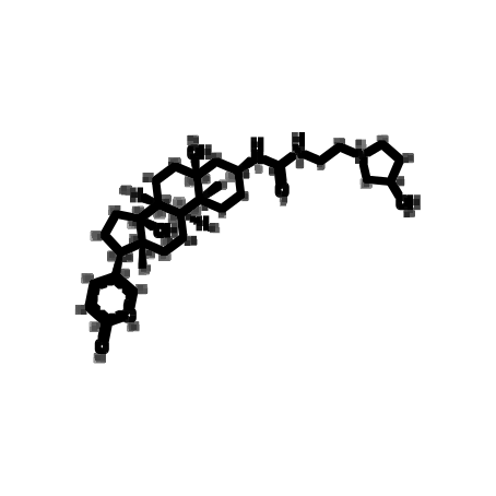 C[C@]12CC[C@H](NC(=O)NCCN3CCC(O)C3)C[C@@]1(O)CC[C@@H]1[C@@H]2CC[C@]2(C)[C@@H](c3ccc(=O)oc3)CC[C@]12O